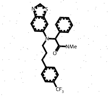 CNC(=O)C(c1ccccc1)N(CCCc1ccc(C(F)(F)F)cc1)c1ccc2ncsc2c1